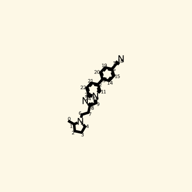 CC1CCCN1CCc1cn2cc(-c3ccc(C#N)cc3)ccc2n1